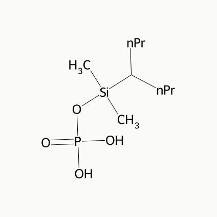 CCCC(CCC)[Si](C)(C)OP(=O)(O)O